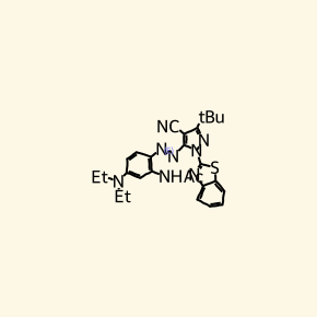 CCN(CC)c1ccc(/N=N/c2c(C#N)c(C(C)(C)C)nn2-c2nc3ccccc3s2)c(NC(C)=O)c1